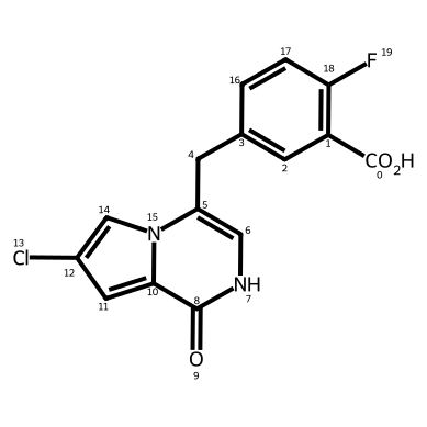 O=C(O)c1cc(Cc2c[nH]c(=O)c3cc(Cl)cn23)ccc1F